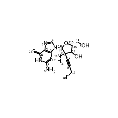 Nc1nc2c(ncn2[C@@H]2O[C@H](CO)C(O)[C@]2(N)C#CCF)c(=S)[nH]1